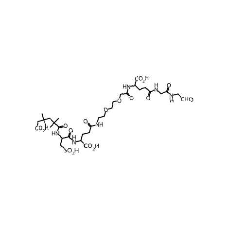 CC(C)(CC(=O)O)CC(C)(C)C(=O)NC(CS(=O)(=O)O)C(=O)NC(CCC(=O)NCCOCCOCC(=O)NC(CCC(=O)NCC(=O)NCC=O)C(=O)O)C(=O)O